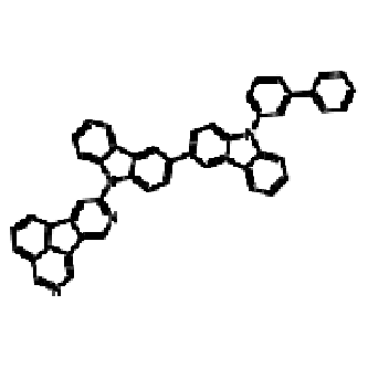 c1ccc(-c2cccc(-n3c4ccccc4c4cc(-c5ccc6c(c5)c5ccccc5n6-c5cc6c(cn5)-c5cncc7cccc-6c57)ccc43)c2)cc1